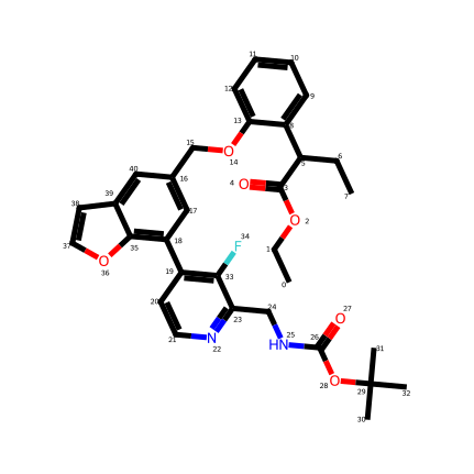 CCOC(=O)C(CC)c1ccccc1OCc1cc(-c2ccnc(CNC(=O)OC(C)(C)C)c2F)c2occc2c1